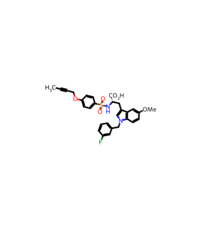 CC#CCOc1ccc(S(=O)(=O)N[C@@H](Cc2cn(Cc3cccc(F)c3)c3ccc(OC)cc23)C(=O)O)cc1